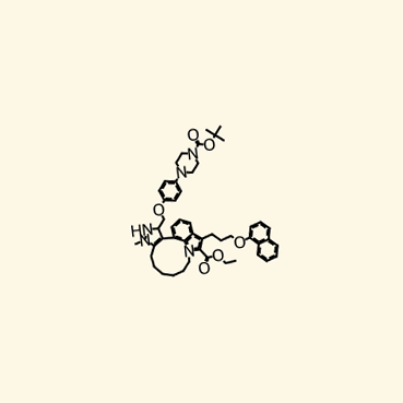 CCOC(=O)c1c(CCCOc2cccc3ccccc23)c2cccc3c2n1CCCCCCC1=C3C(COc2ccc(N3CCN(C(=O)OC(C)(C)C)CC3)cc2)NN1C